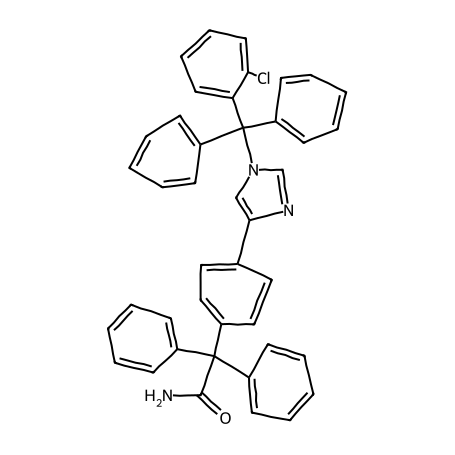 NC(=O)C(c1ccccc1)(c1ccccc1)c1ccc(-c2cn(C(c3ccccc3)(c3ccccc3)c3ccccc3Cl)cn2)cc1